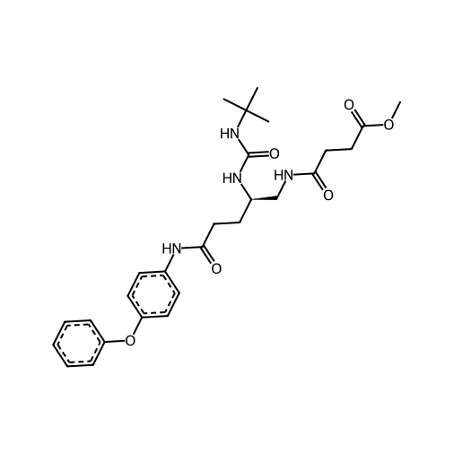 COC(=O)CCC(=O)NC[C@@H](CCC(=O)Nc1ccc(Oc2ccccc2)cc1)NC(=O)NC(C)(C)C